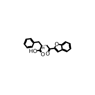 O=C(C[C@@H](Cc1ccccc1)C(=O)O)c1cc2ccccc2o1